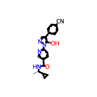 C[C@H](NC(=O)c1ccc(-n2ncc(-c3ccc(C#N)cc3)c2O)nc1)C1CC1